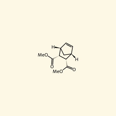 COC(=O)[C@@H]1[C@H](C(=O)OC)[C@@H]2C=C[C@H]1C2